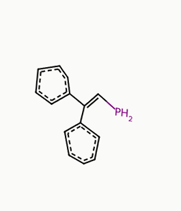 PC=C(c1ccccc1)c1ccccc1